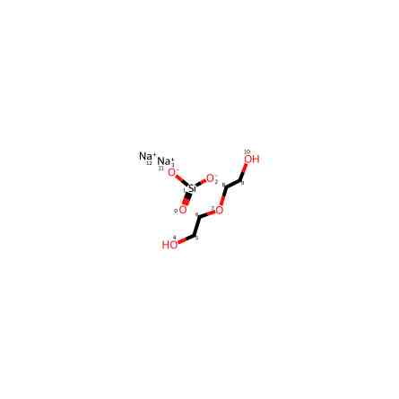 O=[Si]([O-])[O-].OCCOCCO.[Na+].[Na+]